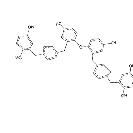 Oc1ccc(O)c(Cc2ccc(Cc3cc(O)ccc3Oc3ccc(O)cc3Cc3ccc(Cc4cc(O)ccc4O)cc3)cc2)c1